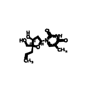 C=CC[C@]1(CO)O[C@@H](n2cc(C)c(=O)[nH]c2=O)C[C@@H]1O